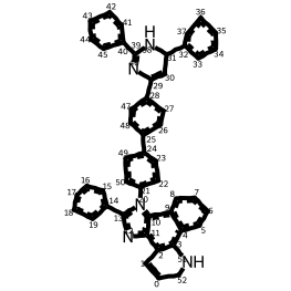 C1=Cc2c(c3ccccc3c3c2nc(-c2ccccc2)n3-c2ccc(-c3ccc(C4=CC(c5ccccc5)NC(c5ccccc5)=N4)cc3)cc2)NC1